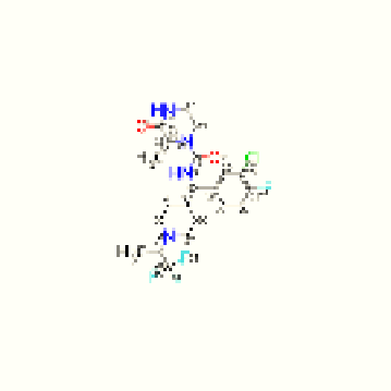 CC(N1CCC(C(NC(=O)N2CCNC(=O)[C@H]2C)c2ccc(F)c(Cl)c2)CC1)C(F)(F)F